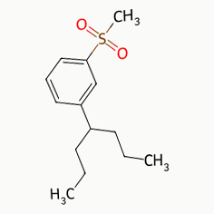 CCCC(CCC)c1cccc(S(C)(=O)=O)c1